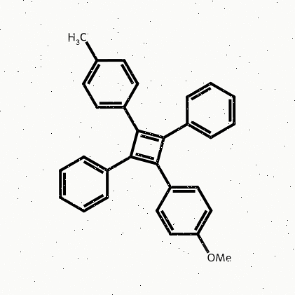 COc1ccc(C2=C(c3ccccc3)C(c3ccc(C)cc3)=C2c2ccccc2)cc1